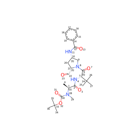 C[C@@H](C(=O)N[C@H](C(=O)N1C[C@@H](NC(=O)c2ccccc2)C[C@H]1C=O)C(C)(C)C)N(C)C(=O)OC(C)(C)C